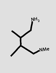 CNCC(C)C(C)CN